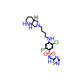 O=S(=O)(Nc1ncns1)c1cc(Cl)c(NCCCCN2C[C@H]3CCCN[C@H]3C2)cc1F